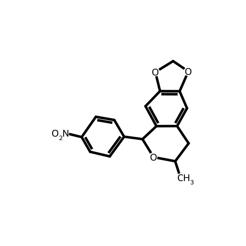 CC1Cc2cc3c(cc2C(c2ccc([N+](=O)[O-])cc2)O1)OCO3